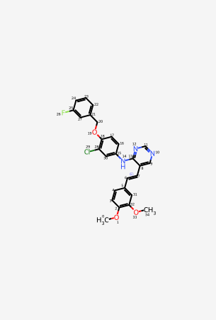 COc1ccc(/C=C/c2cncnc2Nc2ccc(OCc3cccc(F)c3)c(Cl)c2)cc1OC